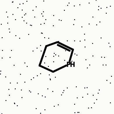 C1=CPCCC1